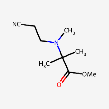 COC(=O)C(C)(C)N(C)CCC#N